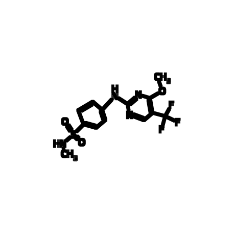 CNS(=O)(=O)c1ccc(Nc2ncc(C(F)(F)F)c(OC)n2)cc1